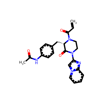 C=CC(=O)N1CCN(c2cn3ccccc3n2)C(=O)[C@@H]1Cc1ccc(NC(C)=O)cc1